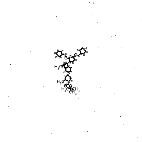 C[C@H]1C[C@H](c2ccc3c(-c4ccc(OCc5ccccc5)nc4OCc4ccccc4)nn(C)c3c2)CCN1C(=O)OC(C)(C)C